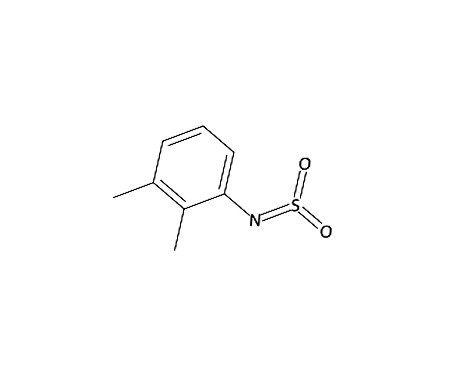 Cc1cccc(N=S(=O)=O)c1C